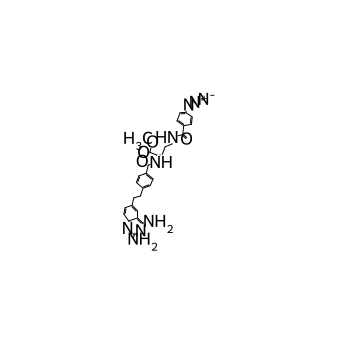 COC(=O)[C@H](CCCNC(=O)c1ccc(N=[N+]=[N-])cc1)NC(=O)c1ccc(CCc2ccc3nc(N)nc(N)c3c2)cc1